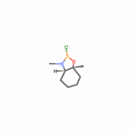 CN1[C@@H]2CCCC[C@@]2(C)OP1Cl